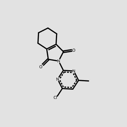 Cc1cc(Cl)nc(N2C(=O)C3=C(CCCC3)C2=O)n1